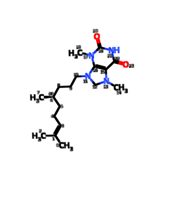 CC(C)=CCC[C@@H](C)CCCN1CN(C)c2c1n(C)c(=O)[nH]c2=O